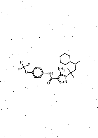 CC(CC(C)(C)n1ncc(C(=O)Nc2ccc(OC(F)(F)F)cc2)c1N)C1CCCCC1